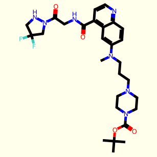 CN(CCCN1CCN(C(=O)OC(C)(C)C)CC1)c1ccc2nccc(C(=O)NCC(=O)N3CC(F)(F)CN3)c2c1